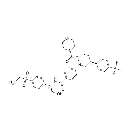 CCS(=O)(=O)c1ccc([C@H](CO)NC(=O)c2ccc(N3C[C@H](c4ccc(C(F)(F)F)cc4)CC[C@H]3C(=O)N3CCOCC3)cc2)cc1